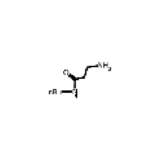 CCCCN(C)C(=O)CCN